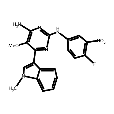 COc1c(N)nc(Nc2ccc(F)c([N+](=O)[O-])c2)nc1-c1cn(C)c2ccccc12